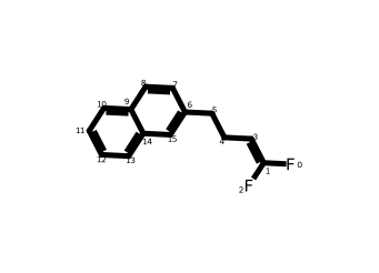 FC(F)=CCCc1ccc2ccccc2c1